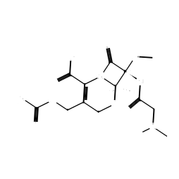 CO[C@@]1(NC(=O)C[S+](C)[O-])C(=O)N2C(C(=O)O)=C(COC(N)=O)CS[C@@H]21